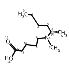 CCCC[C@@H](C)N(C)CCCCC(=O)O